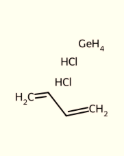 C=CC=C.Cl.Cl.[GeH4]